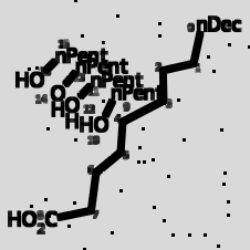 CCCCCCCCCCCCCCCCCC(=O)O.CCCCCO.CCCCCO.CCCCCO.CCCCCO